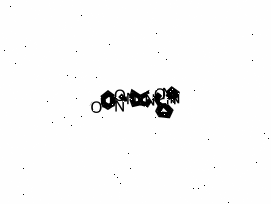 COc1ccc2oc(N3CC4CN(C(=O)c5ccccc5-n5nccn5)CC4C3)nc2c1